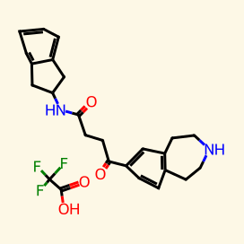 O=C(CCC(=O)c1ccc2c(c1)CCNCC2)NC1Cc2ccccc2C1.O=C(O)C(F)(F)F